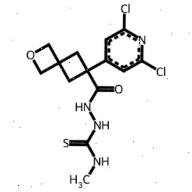 CNC(=S)NNC(=O)C1(c2cc(Cl)nc(Cl)c2)CC2(COC2)C1